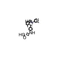 Cc1cc(/C(C[C@H](c2ccc(N[C@H]3C[C@@H](C(=O)O)C3)cc2)c2ccccc2C)=N/O)ccn1